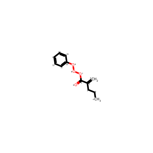 C=C(CCC)C(=O)OOOc1ccccc1